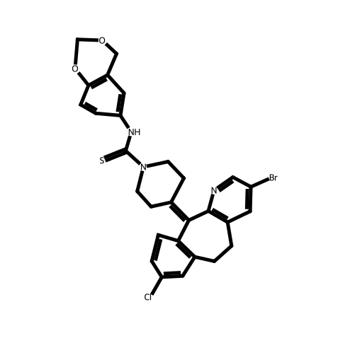 S=C(Nc1ccc2c(c1)COCO2)N1CCC(=C2c3ccc(Cl)cc3CCc3cc(Br)cnc32)CC1